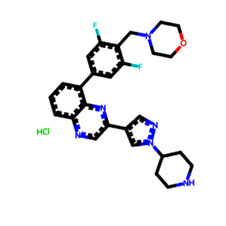 Cl.Fc1cc(-c2cccc3ncc(-c4cnn(C5CCNCC5)c4)nc23)cc(F)c1CN1CCOCC1